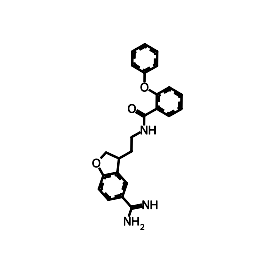 N=C(N)c1ccc2c(c1)C(CCNC(=O)c1ccccc1Oc1ccccc1)CO2